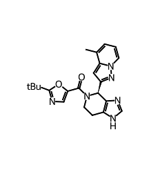 Cc1cccn2nc([C@H]3c4nc[nH]c4CCN3C(=O)c3cnc(C(C)(C)C)o3)cc12